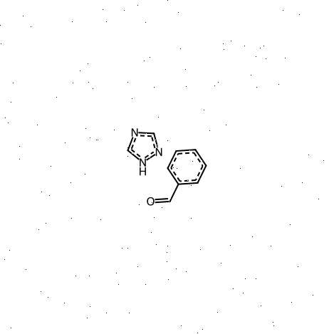 O=Cc1ccccc1.c1nc[nH]n1